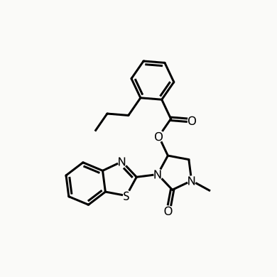 CCCc1ccccc1C(=O)OC1CN(C)C(=O)N1c1nc2ccccc2s1